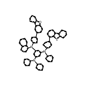 c1ccc(N(c2ccccc2)c2cc(N(c3ccccc3)c3ccc(-c4cccc5c4sc4ccccc45)cc3)cc(N(c3ccc(-c4ccc5oc6ccccc6c5c4)cc3)c3cccc4ccccc34)c2)cc1